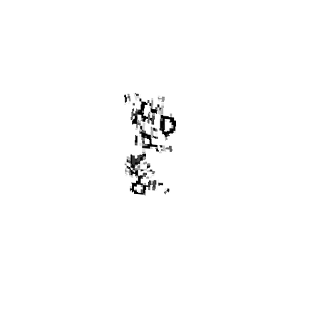 Nc1ccccc1C(=O)NS(=O)(=O)NC[C@H]1O[C@@H](n2cnc3c(N)nc(Nc4ccccc4)nc32)C(O)[C@@H]1O